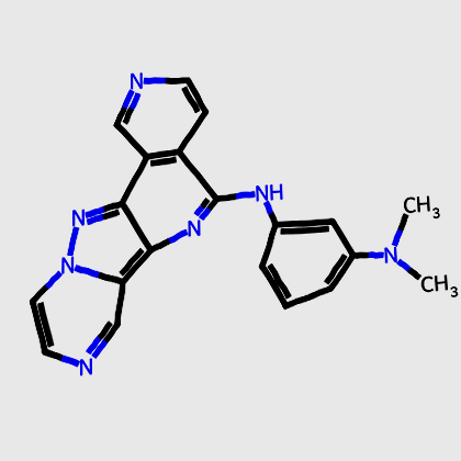 CN(C)c1cccc(Nc2nc3c(nn4ccncc34)c3cnccc23)c1